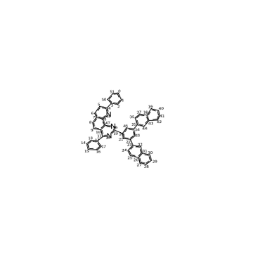 c1ccc(-c2ccc3ccc4c(-c5ccccc5)nc(-c5cc(-c6ccc7ccccc7c6)cc(-c6ccc7ccccc7c6)c5)nc4c3n2)cc1